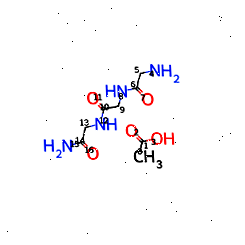 CC(=O)O.NCC(=O)NCC(=O)NCC(N)=O